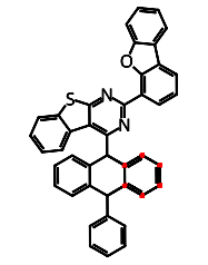 c1ccc(C23c4ccccc4C(c4nc(-c5cccc6c5oc5ccccc56)nc5sc6ccccc6c45)(c4ccccc42)c2ccccc23)cc1